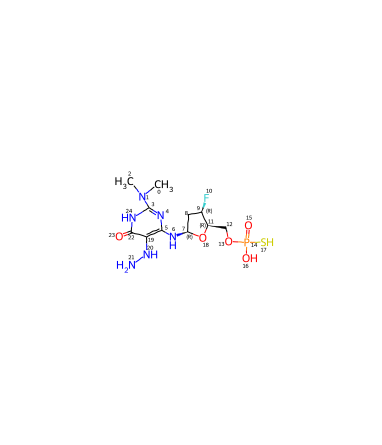 CN(C)c1nc(N[C@H]2C[C@@H](F)[C@@H](COP(=O)(O)S)O2)c(NN)c(=O)[nH]1